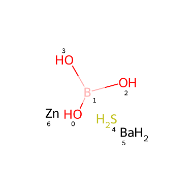 OB(O)O.S.[BaH2].[Zn]